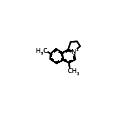 Cc1ccc2c(C)c[n+]3c(c2c1)CCC3